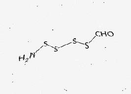 NSSSSC=O